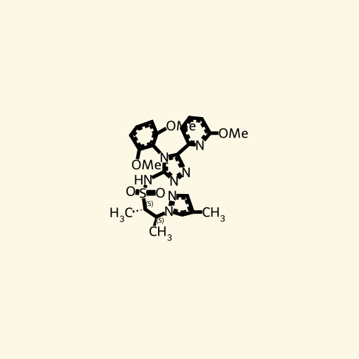 COc1cccc(-c2nnc(NS(=O)(=O)[C@@H](C)[C@H](C)n3cc(C)cn3)n2-c2c(OC)cccc2OC)n1